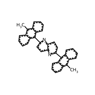 Cc1c2ccccc2c(-c2ccc3nc(-c4c5ccccc5c(C)c5ccccc45)ccc3n2)c2ccccc12